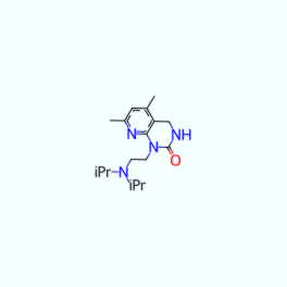 Cc1cc(C)c2c(n1)N(CCN(C(C)C)C(C)C)C(=O)NC2